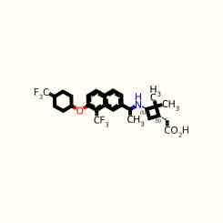 CC(N[C@H]1C[C@@H](CC(=O)O)C1(C)C)c1ccc2ccc(OC3CCC(C(F)(F)F)CC3)c(C(F)(F)F)c2c1